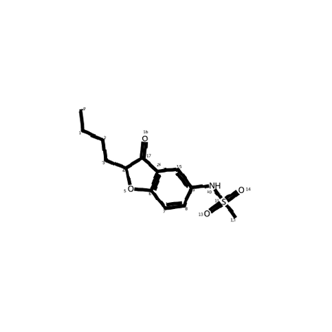 CCCCC1Oc2ccc(NS(C)(=O)=O)cc2C1=O